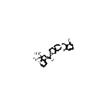 CC1(C)CN(C(=O)N2CCC3(CCN(Cc4c(F)cccc4F)CC3)C2)c2cccnc21